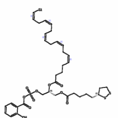 CC/C=C\C/C=C\C/C=C\C/C=C\C/C=C\CCCC(=O)O[C@H](COC(=O)CCCC[C@@H]1CCSS1)COS(=O)(=O)OC(=O)c1ccccc1O